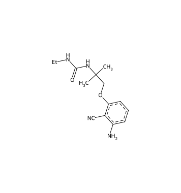 CCNC(=O)NC(C)(C)COc1cccc(N)c1C#N